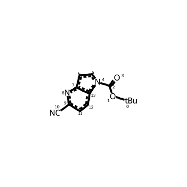 CC(C)(C)OC(=O)n1ccc2nc(C#N)ccc21